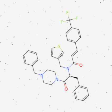 O=C([C@H](Cc1ccccc1)N(Cc1ccsc1)C(=O)/C=C/c1ccc(C(F)(F)F)cc1)N1CCN(Cc2ccccc2)CC1